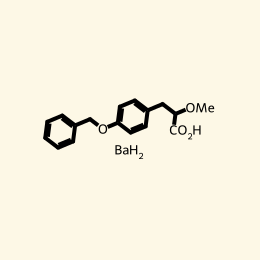 COC(Cc1ccc(OCc2ccccc2)cc1)C(=O)O.[BaH2]